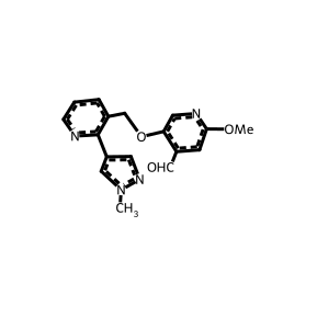 COc1cc(C=O)c(OCc2cccnc2-c2cnn(C)c2)cn1